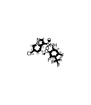 COc1c(NS(=O)(=O)c2cnn3cc(Cl)ccc23)cc(F)c(C(F)(F)F)c1F